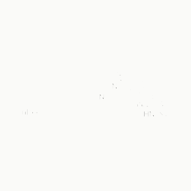 CCCCCCCCCCCCCCCCCCN1CCN(C(=O)c2ccc(C=C3SC(=O)NC3=O)cc2)CC1